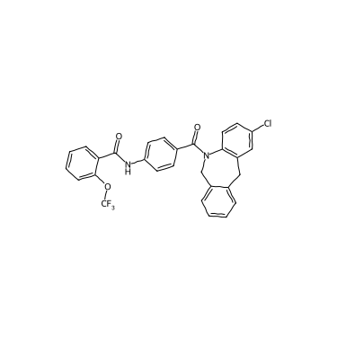 O=C(Nc1ccc(C(=O)N2Cc3ccccc3Cc3cc(Cl)ccc32)cc1)c1ccccc1OC(F)(F)F